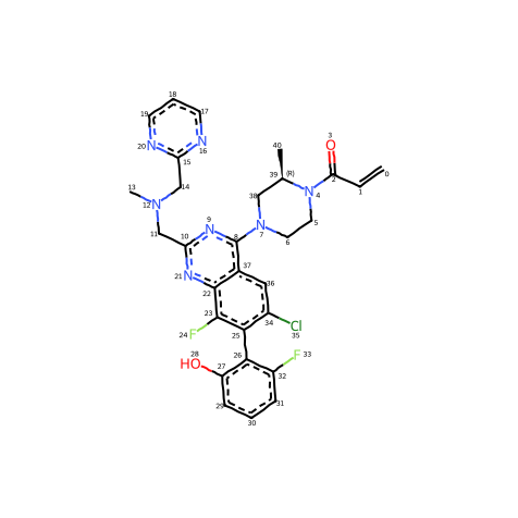 C=CC(=O)N1CCN(c2nc(CN(C)Cc3ncccn3)nc3c(F)c(-c4c(O)cccc4F)c(Cl)cc23)C[C@H]1C